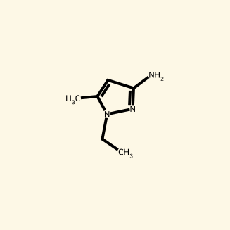 CCn1nc(N)cc1C